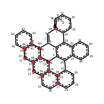 C=C/C=C(\c1c(N2c3ccccc3Sc3ccccc32)c(-c2ccccc2)c2ccccc2c1-c1ccccc1)N1c2ccccc2Sc2ccccc21